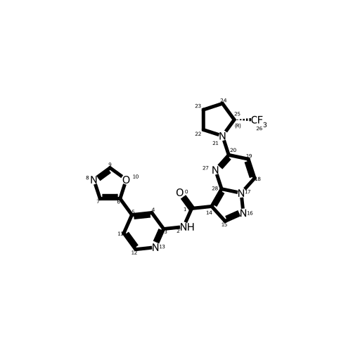 O=C(Nc1cc(-c2cnco2)ccn1)c1cnn2ccc(N3CCC[C@@H]3C(F)(F)F)nc12